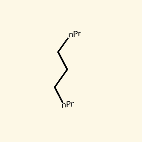 [C]CCCCCCCC